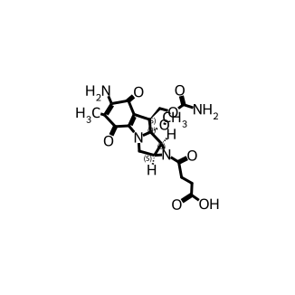 CO[C@@]12[C@H](COC(N)=O)C3=C(C(=O)C(C)=C(N)C3=O)N1C[C@H]1[C@@H]2N1C(=O)CCC(=O)O